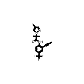 CC#Cc1cc(C(F)(F)F)ccc1NC(=O)C(C)(C)n1cc(I)cn1